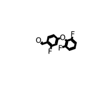 O=Cc1ccc(Oc2c(F)cccc2F)cc1F